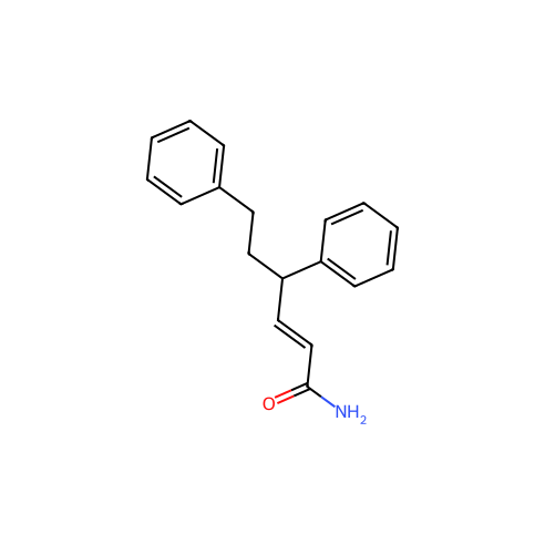 NC(=O)C=CC(CCc1ccccc1)c1ccccc1